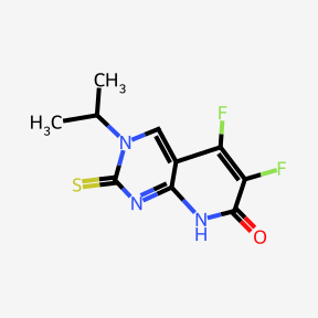 CC(C)n1cc2c(F)c(F)c(=O)[nH]c2nc1=S